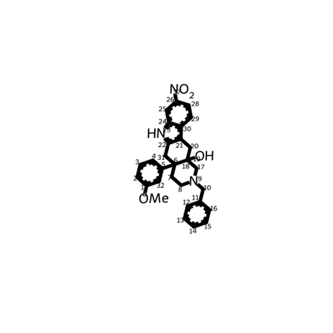 COc1cccc(C23CCN(Cc4ccccc4)CC2(O)Cc2c([nH]c4cc([N+](=O)[O-])ccc24)C3)c1